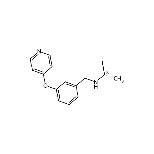 C[C@@H](I)NCc1cccc(Oc2ccncc2)c1